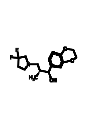 C[C@H](CN1CCC(F)(F)C1)[C@H](O)c1ccc2c(c1)OCCO2